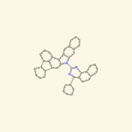 c1ccc(-c2nc(-n3c4cc5ccccc5cc4c4c5cccc6c5c(cc43)-c3ccccc3-6)nc3c2ccc2ccccc23)cc1